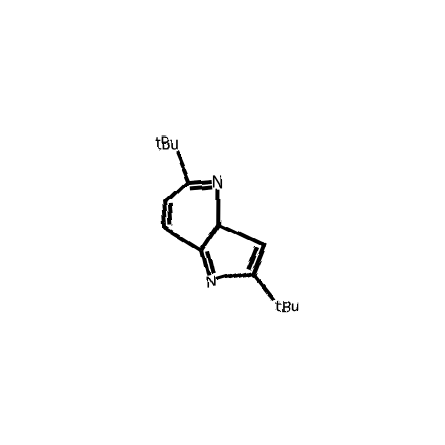 CC(C)(C)C1=CC2N=C(C(C)(C)C)C=CC2=N1